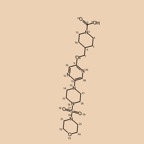 O=C(O)N1CCC(COc2cnc(N3CCN(S(=O)(=O)N4CCOCC4)CC3)cn2)CC1